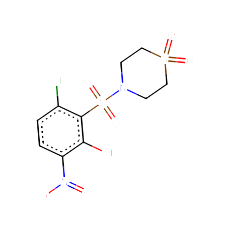 O=[N+]([O-])c1ccc(Cl)c(S(=O)(=O)N2CCS(=O)(=O)CC2)c1O